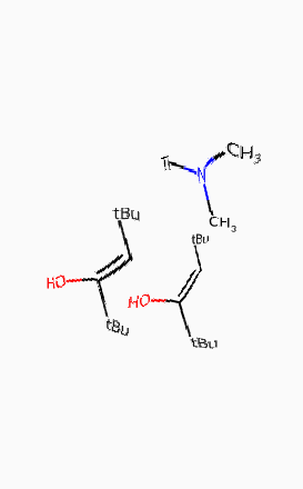 CC(C)(C)C=C(O)C(C)(C)C.CC(C)(C)C=C(O)C(C)(C)C.C[N](C)[Ti]